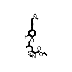 CCOC(=O)c1ncsc1CC(C)COc1ccc(C#CCN(C)C)cc1F